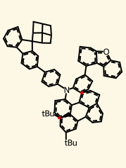 CC(C)(C)c1cc(-c2cccc3cccc(-c4ccccc4N(c4ccc(-c5ccc6c(c5)C5(c7ccccc7-6)C6CC7CC8CC5C786)cc4)c4cccc(-c5cccc6oc7ccccc7c56)c4)c23)cc(C(C)(C)C)c1